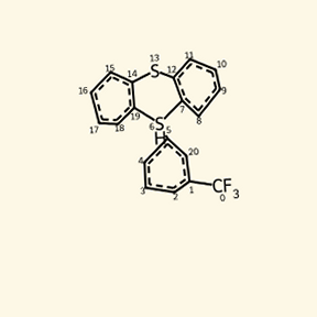 FC(F)(F)c1cccc([SH]2c3ccccc3Sc3ccccc32)c1